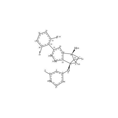 Cc1cc(O[C@@]23CC[C@@H](c4cc(-c5c(F)cccc5F)nnc42)C3(C)C)ccn1